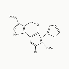 CCOC(=O)c1n[nH]c2c1COc1c-2cc(Br)c(OC)c1-c1cccs1